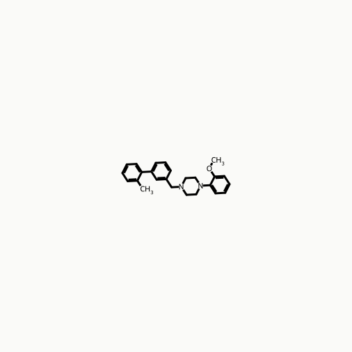 COc1ccccc1N1CCN(Cc2cccc(-c3ccccc3C)c2)CC1